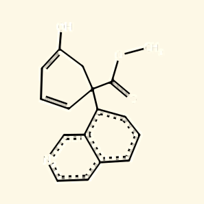 COC(=O)C1(c2cccc3ccncc23)C=CC=C(O)C1